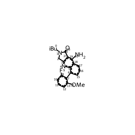 CCC(C)N1Cc2nc3c(-c4c(F)cccc4OC)cccc3c(N)c2C1=O